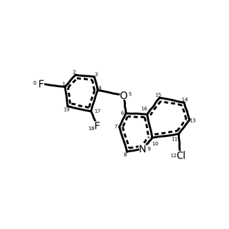 Fc1ccc(Oc2ccnc3c(Cl)cccc23)c(F)c1